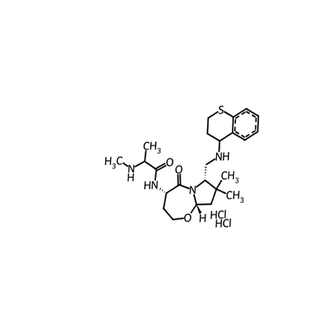 CNC(C)C(=O)N[C@H]1CCO[C@H]2CC(C)(C)[C@@H](CNC3CCSc4ccccc43)N2C1=O.Cl.Cl